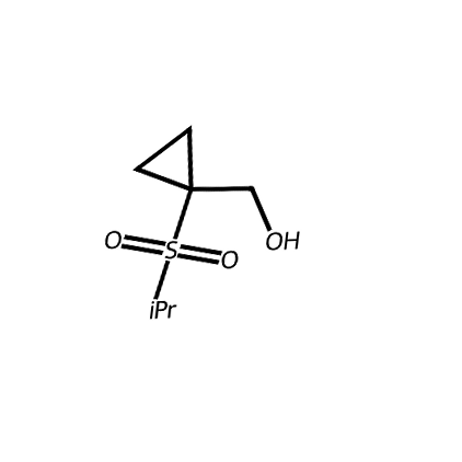 CC(C)S(=O)(=O)C1(CO)CC1